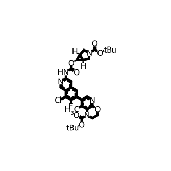 Cc1c(-c2cc3cc(NC(=O)O[C@H]4[C@@H]5CN(C(=O)OC(C)(C)C)C[C@@H]54)ncc3c(Cl)c2F)cnc2c1N(C(=O)OC(C)(C)C)CCO2